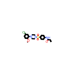 C=CC(=O)Nc1ccc(S(=O)(=O)N2CCN(c3cc(Cl)ccc3OC)CC2)cc1